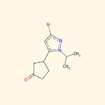 CC(C)n1nc(Br)cc1C1CCC(=O)C1